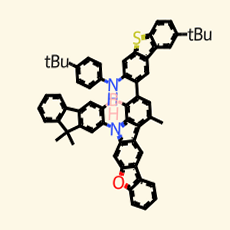 Cc1cc(-c2cc3c(cc2Nc2ccc(C(C)(C)C)cc2)sc2ccc(C(C)(C)C)cc23)c2c3c1c1cc4c(cc1n3-c1cc3c(cc1B2)-c1ccccc1C3(C)C)oc1ccccc14